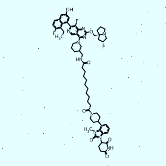 CCc1c(F)ccc2cc(O)cc(-c3ncc4c(N5CCCC(CNC(=O)CCCCCCCCCCC(=O)N6CCC(c7cccc8c7n(C)c(=O)n8C7CCC(=O)NC7=O)CC6)C5)nc(OC[C@@]56CCCN5C[C@H](F)C6)nc4c3F)c12